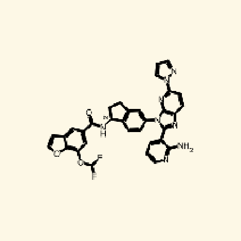 Nc1ncccc1-c1nc2ccc(-n3cccn3)nc2n1-c1ccc2c(c1)CC[C@@H]2NC(=O)c1cc(OC(F)F)c2occc2c1